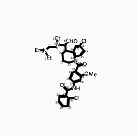 CCN(CC)CCN(CC)C(C=O)C1CCCN(C(=O)c2ccc(NC(=O)c3ccccc3Cl)cc2OC)c2ccc(Cl)cc21